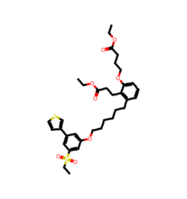 CCOC(=O)CCCOc1cccc(CCCCCCOc2cc(-c3ccsc3)cc(S(=O)(=O)CC)c2)c1CCC(=O)OCC